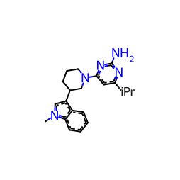 CC(C)c1cc(N2CCCC(c3cn(C)c4ccccc34)C2)nc(N)n1